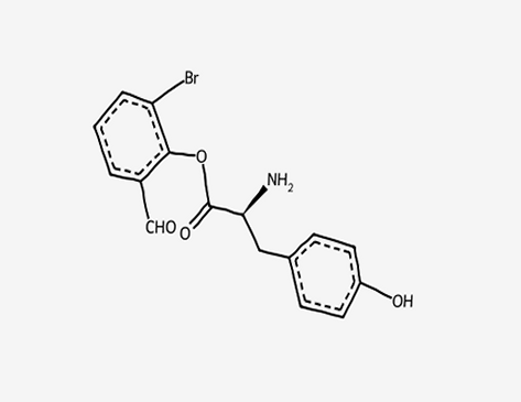 N[C@@H](Cc1ccc(O)cc1)C(=O)Oc1c(Br)cccc1C=O